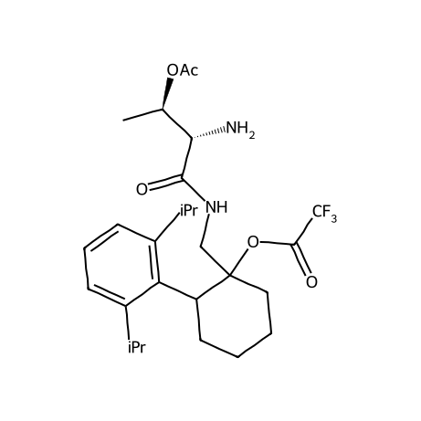 CC(=O)O[C@H](C)[C@H](N)C(=O)NCC1(OC(=O)C(F)(F)F)CCCCC1c1c(C(C)C)cccc1C(C)C